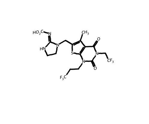 Cc1c(CN2CCN/C2=N\C(=O)O)sc2c1c(=O)n(CC(F)(F)F)c(=O)n2CCC(F)(F)F